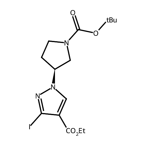 CCOC(=O)c1cn([C@H]2CCN(C(=O)OC(C)(C)C)C2)nc1I